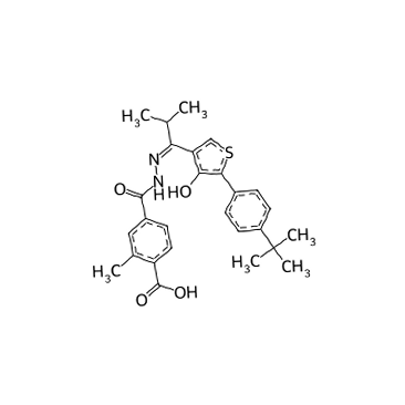 Cc1cc(C(=O)N/N=C(\c2csc(-c3ccc(C(C)(C)C)cc3)c2O)C(C)C)ccc1C(=O)O